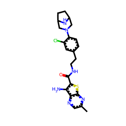 Cc1cnc2c(N)c(C(=O)NCCc3ccc(N4CC5CCC(C4)N5)c(Cl)c3)sc2n1